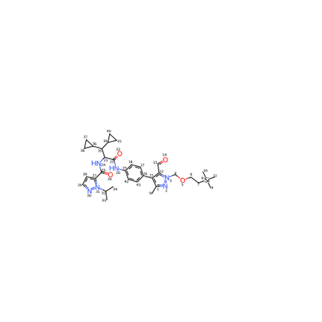 Cc1nn(COCC[Si](C)(C)C)c(C=O)c1-c1ccc(NC(=O)C(NC(=O)c2ccnn2C(C)C)C(C2CC2)C2CC2)cc1